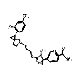 Cn1c(SCCCN2CC[C@]3(C[C@@H]3c3ccc(C(F)(F)F)cc3F)C2)nnc1-c1ccc(C(N)=O)nc1